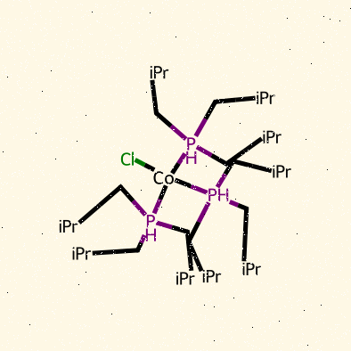 CC(C)C[PH](CC(C)C)(CC(C)C)[Co]([Cl])([PH](CC(C)C)(CC(C)C)CC(C)C)[PH](CC(C)C)(CC(C)C)CC(C)C